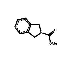 COC(=O)N1Cc2ccncc2C1